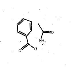 CC(N)=O.O=C(Cl)c1ccccc1